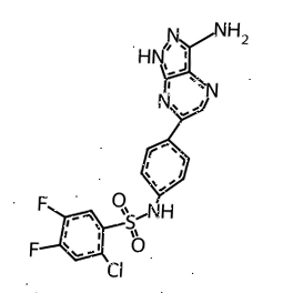 Nc1n[nH]c2nc(-c3ccc(NS(=O)(=O)c4cc(F)c(F)cc4Cl)cc3)cnc12